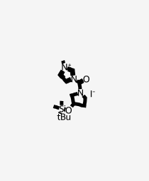 C[n+]1ccn(C(=O)N2CCC(O[Si](C)(C)C(C)(C)C)C2)c1.[I-]